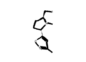 Cc1cc([C@@H]2CC[C@@H](CF)N2C)on1